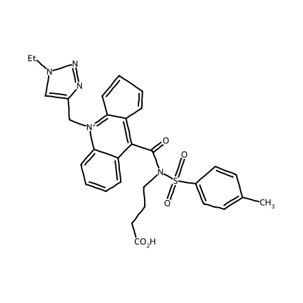 CCn1cc(C[n+]2c3ccccc3c(C(=O)N(CCCC(=O)O)S(=O)(=O)c3ccc(C)cc3)c3ccccc32)nn1